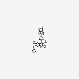 COc1cc2c(N3CCC(c4nc5cc(C)ccc5o4)CC3)c(C#N)c(=O)n(C)c2cc1O[C@H]1CCOC1